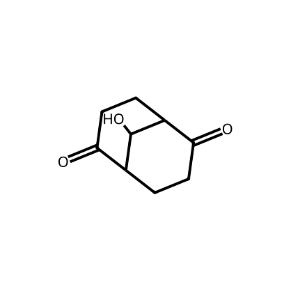 O=C1CCC2C(=O)CCC1C2O